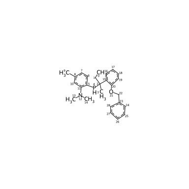 CCC(C)(Pc1ccc(C)cc1N(C)C)c1ccccc1OCc1ccccc1